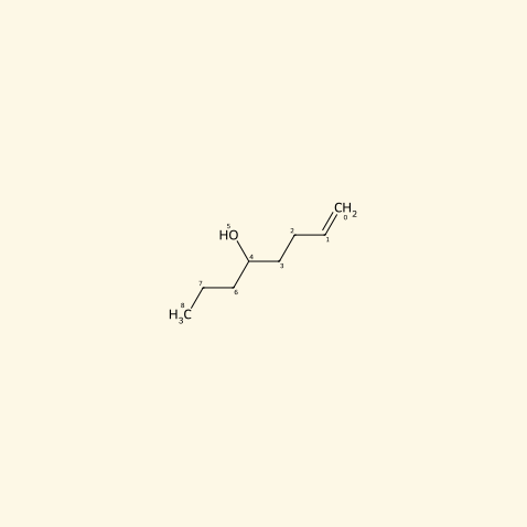 C=CCCC(O)CCC